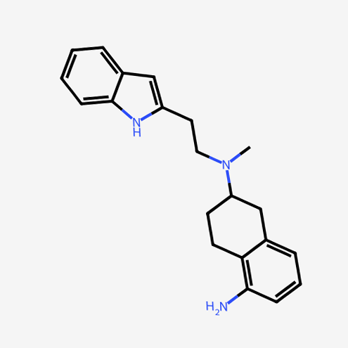 CN(CCc1cc2ccccc2[nH]1)C1CCc2c(N)cccc2C1